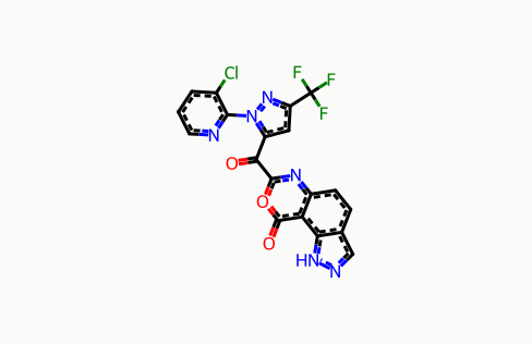 O=C(c1nc2ccc3cn[nH]c3c2c(=O)o1)c1cc(C(F)(F)F)nn1-c1ncccc1Cl